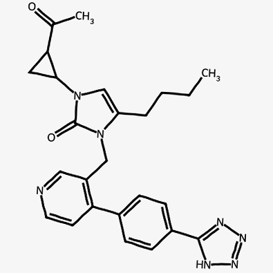 CCCCc1cn(C2CC2C(C)=O)c(=O)n1Cc1cnccc1-c1ccc(-c2nnn[nH]2)cc1